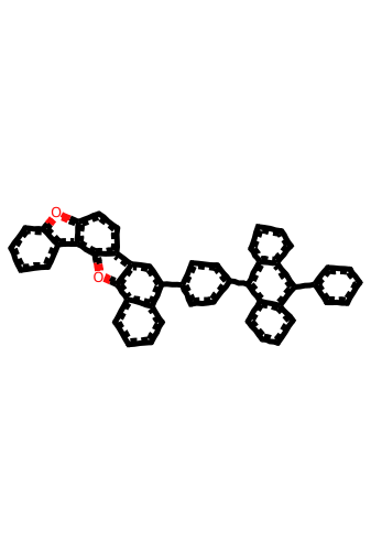 c1ccc(-c2c3ccccc3c(-c3ccc(-c4cc5c6ccc7oc8ccccc8c7c6oc5c5ccccc45)cc3)c3ccccc23)cc1